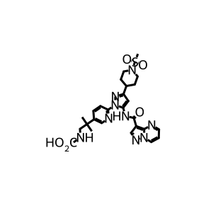 CC(C)(CNC(=O)O)c1ccc(-n2nc(C3CCN(S(C)(=O)=O)CC3)cc2NC(=O)c2cnn3cccnc23)nc1